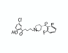 O=C(CCCCN1CCC(C(=O)c2c(F)cccc2F)CC1)c1cc(Cl)ccc1O